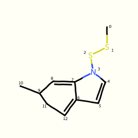 CSSn1ccc2c1=CC(C)CC=2